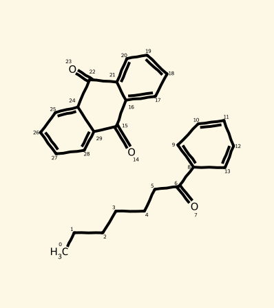 CCCCCCC(=O)c1ccccc1.O=C1c2ccccc2C(=O)c2ccccc21